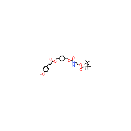 COc1ccc(/C=C/C(=O)OCC2CCC(COC(=O)NCCOC(=O)C(C)(CC(C)(C)C)C(C)(C)C)CC2)cc1